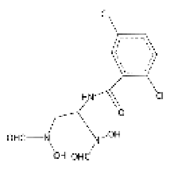 O=CN(O)CC(NC(=O)c1cc(Cl)ccc1Cl)N(O)C=O